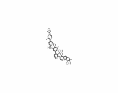 C[C@H]1CN(C2COC2)CCN1c1ccc(Nc2cc(-c3ccnc(-n4ccn5c6c(cc5c4=O)CC(C)(C)[C@@H]6O)c3CO)cn(C)c2=O)nc1